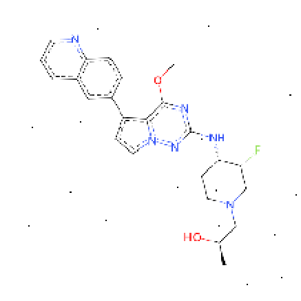 COc1nc(N[C@H]2CCN(C[C@@H](C)O)C[C@H]2F)nn2ccc(-c3ccc4ncccc4c3)c12